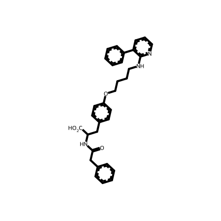 O=C(Cc1ccccc1)NC(Cc1ccc(OCCCCNc2ncccc2-c2ccccc2)cc1)C(=O)O